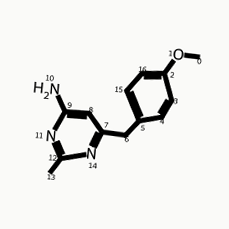 COc1ccc(Cc2cc(N)nc(C)n2)cc1